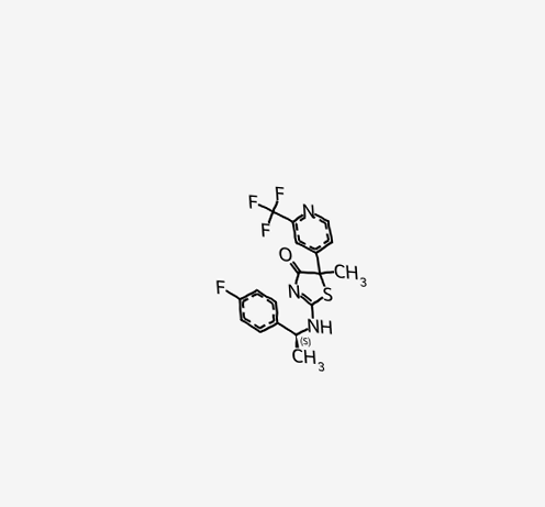 C[C@H](NC1=NC(=O)C(C)(c2ccnc(C(F)(F)F)c2)S1)c1ccc(F)cc1